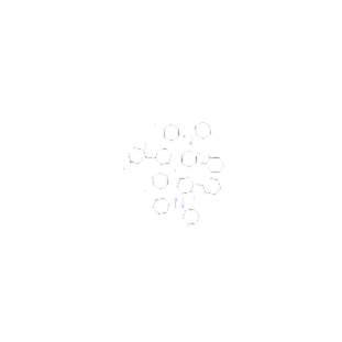 CC(C)(C)c1ccc(N(c2ccccc2)c2cc3c(c4c2oc2ccccc24)-c2c(cc(N(c4ccccc4)c4ccc(C(C)(C)C)cc4)c4sc5ccccc5c24)C3(c2ccc(C(C)(C)C)cc2)c2ccc3oc4ccc(C(C)(C)C)cc4c3c2)cc1